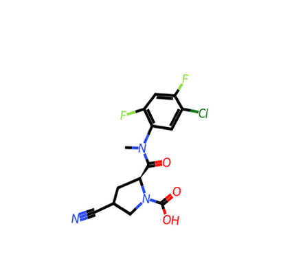 CN(C(=O)[C@@H]1CC(C#N)CN1C(=O)O)c1cc(Cl)c(F)cc1F